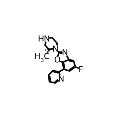 C[C@H]1CNCCN1c1nc2cc(F)cc(-c3ccccn3)c2o1